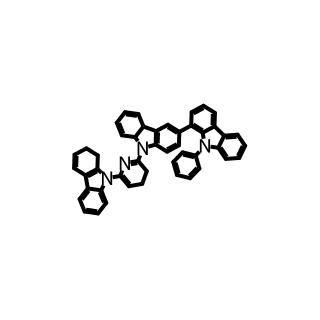 C1=CC2c3cc(-c4cccc5c6ccccc6n(-c6ccccc6)c45)ccc3N(C3=NC(n4c5c(c6ccccc64)C=CCC5)=CCC3)C2C=C1